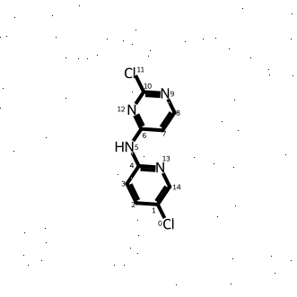 Clc1ccc(Nc2ccnc(Cl)n2)nc1